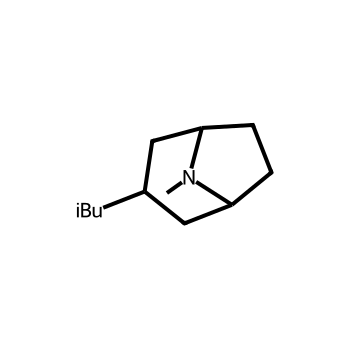 CCC(C)C1CC2CCC(C1)N2C